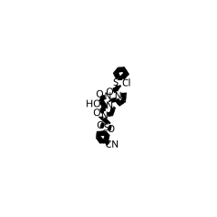 N#Cc1cccc(S(=O)(=O)CCN2CCn3c(C4CCCN4C(=O)CSc4ccccc4Cl)nc(=O)c(O)c3C2=O)c1